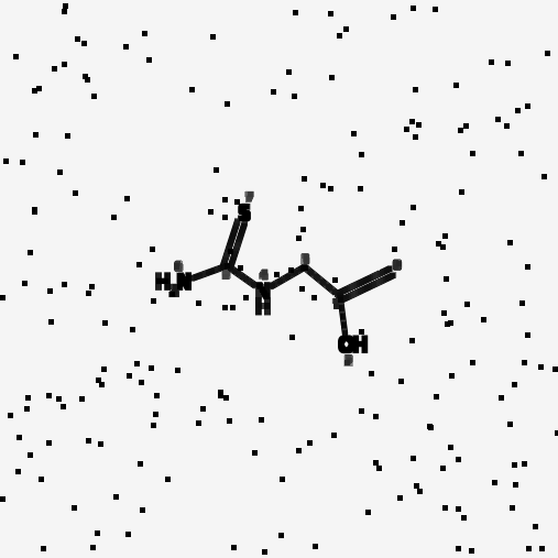 C=C(O)CNC(N)=S